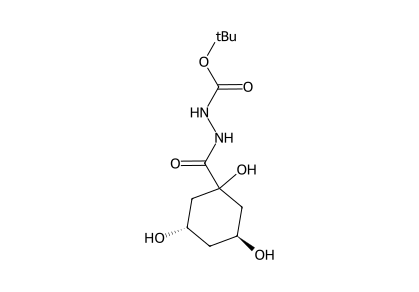 CC(C)(C)OC(=O)NNC(=O)C1(O)C[C@@H](O)C[C@H](O)C1